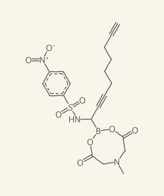 C#CCCCCC#CC(NS(=O)(=O)c1ccc([N+](=O)[O-])cc1)B1OC(=O)CN(C)CC(=O)O1